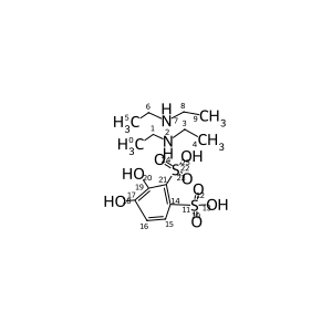 CCNCC.CCNCC.O=S(=O)(O)c1ccc(O)c(O)c1S(=O)(=O)O